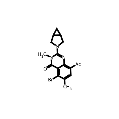 CC(=O)c1cc(C)c(Br)c2c(=O)n(C)c(N3CC4CC4C3)nc12